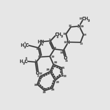 CC(=O)C1=C(C)NC(C)=C(C(=O)N2CCN(C)CC2)C1c1csc2ccccc12